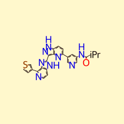 CC(C)C(=O)Nc1cncc(-c2ccc3[nH]nc(-c4nc5c(-c6ccsc6)nccc5[nH]4)c3n2)c1